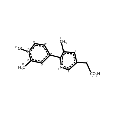 Cc1cc(CC(=O)O)cnc1-c1cc[n+]([O-])c(C)c1